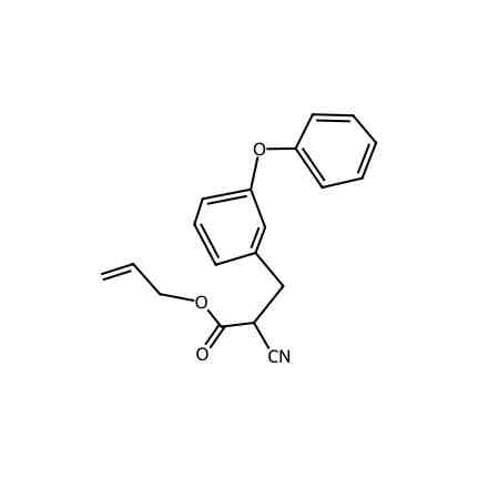 C=CCOC(=O)C(C#N)Cc1cccc(Oc2ccccc2)c1